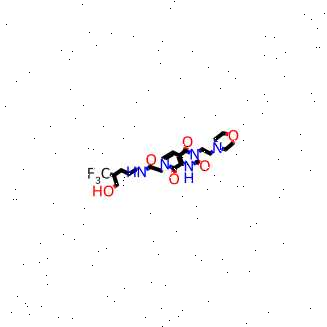 O=C(Cn1ccc2c(=O)n(CCN3CCOCC3)c(=O)[nH]c2c1=O)NCCCC(CO)C(F)(F)F